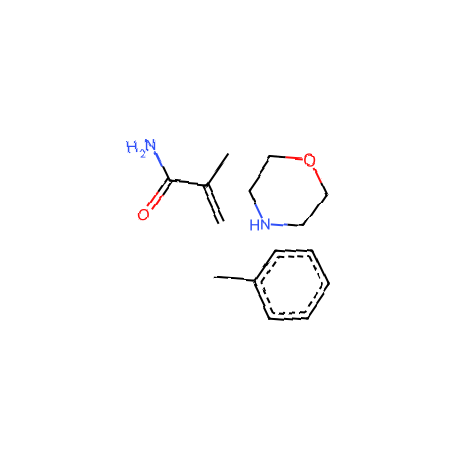 C1COCCN1.C=C(C)C(N)=O.Cc1ccccc1